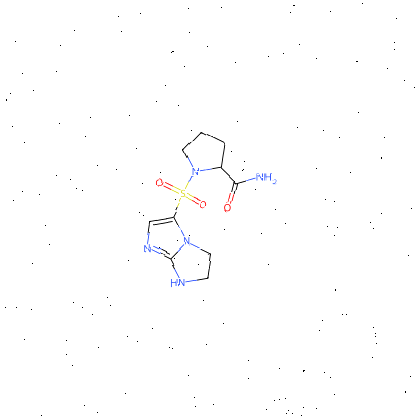 NC(=O)C1CCCN1S(=O)(=O)c1cnc2n1CCN2